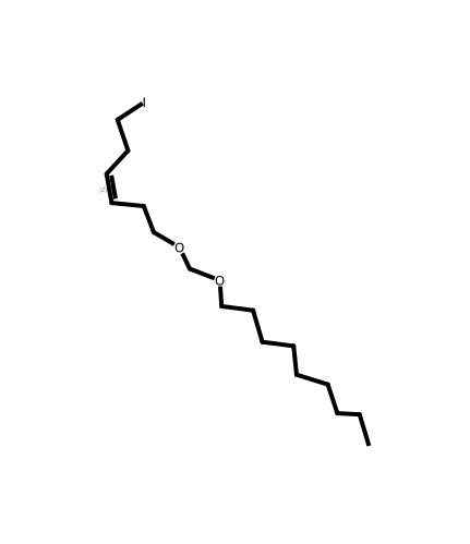 CCCCCCCCCOCOCC/C=C\CCI